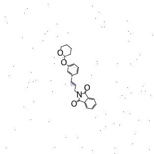 O=C1c2ccccc2C(=O)N1C/C=C/c1cccc(OC2CCCCO2)c1